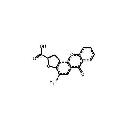 Cc1cc2c(=O)c3ccccc3oc2c2c1OC(C(=O)O)C2